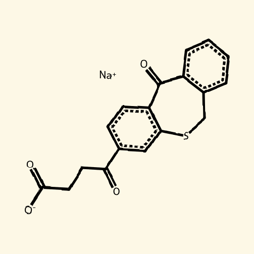 O=C([O-])CCC(=O)c1ccc2c(c1)SCc1ccccc1C2=O.[Na+]